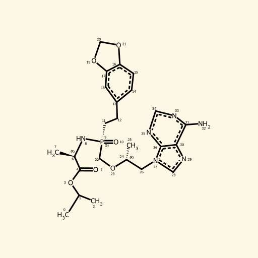 CC(C)OC(=O)[C@@H](C)N[P@](=O)(CCc1ccc2c(c1)OCO2)CO[C@H](C)Cn1cnc2c(N)ncnc21